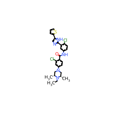 CCN1[C@H](C)CN(c2ccc(C(=O)Nc3ccc(Cl)c(-c4ncc(-c5cccs5)[nH]4)c3)c(Cl)c2)C[C@@H]1C